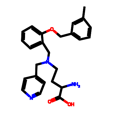 Cc1cccc(COc2ccccc2CN(CCC(N)C(=O)O)Cc2ccncc2)c1